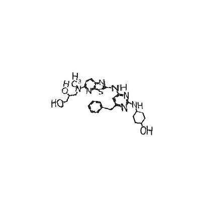 CN(CC(O)CO)c1ccc2nc(Nc3cc(Cc4ccccc4)nc(NC4CCC(O)CC4)n3)sc2n1